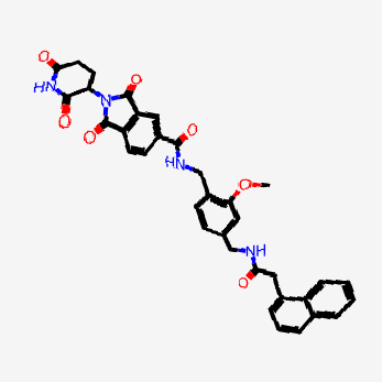 COc1cc(CNC(=O)Cc2cccc3ccccc23)ccc1CNC(=O)c1ccc2c(c1)C(=O)N(C1CCC(=O)NC1=O)C2=O